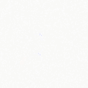 C#CCN1C(=O)CC(c2ccccc2)N=C1c1ccccc1